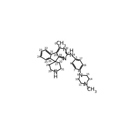 Cc1nc(Nc2ccc(N3CCN(C)CC3)cc2)nc2c1-c1ccccc1C21CCNCC1